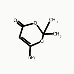 CCCC1=CC(=O)OC(C)(C)O1